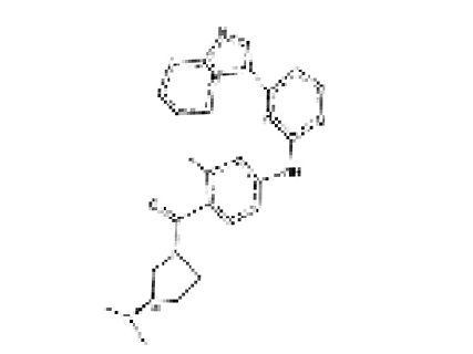 Cc1cc(Nc2nccc(-c3cnc4ccccn34)n2)ccc1C(=O)N1CC[C@@H](N(C)C)C1